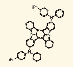 CC(C)c1ccc(N(c2ccccc2)c2ccc3c(c2)c2c4c5ccccc5n5c6ccc(N(c7ccccc7)c7ccc(C(C)C)cc7)cc6c(c6c7ccccc7n3c62)c45)cc1